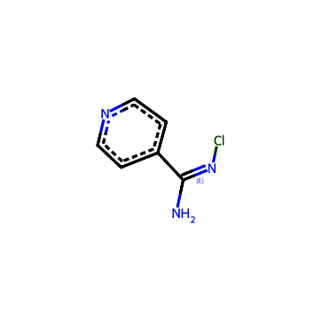 N/C(=N/Cl)c1ccncc1